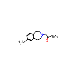 CNC(=O)CN1CCc2ccc([AsH2])cc2CC1